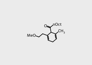 CCCCCCCCC(=O)C1C(C)=CCC=C1CCOC